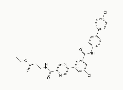 CCOC(=O)CCNC(=O)c1ccc(-c2cc(Cl)cc(C(=O)Nc3ccc(-c4ccc(Cl)cc4)cc3)c2)cn1